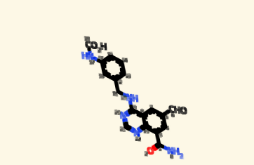 NC(=O)c1cc(C=O)cc2c(NCc3cccc(NC(=O)O)c3)ncnc12